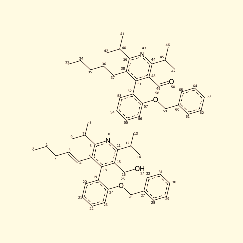 CCCC=Cc1c(C(C)C)nc(C(C)C)c(CO)c1-c1ccccc1OCc1ccccc1.CCCCCc1c(C(C)C)nc(C(C)C)c(C=O)c1-c1ccccc1OCc1ccccc1